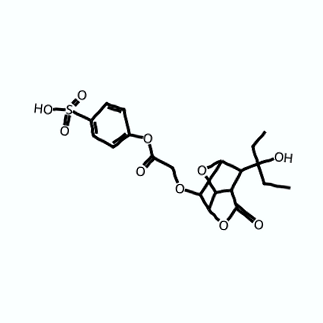 CCC(O)(CC)C1C2OC3C(OC(=O)C31)C2OCC(=O)Oc1ccc(S(=O)(=O)O)cc1